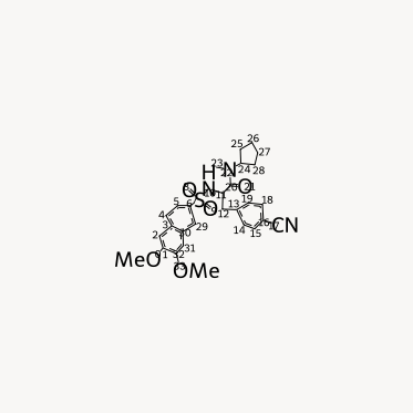 COc1cc2ccc(S(=O)(=O)NC(Cc3ccc(C#N)cc3)C(=O)N(C)C3CCCC3)cc2cc1OC